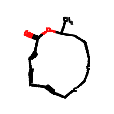 CC1CCCCCCC/C=C/C=C/C=C/C(=O)O1